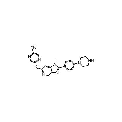 N#Cc1cnc(NC2=NCC3N=C(c4ccc(N5CCNCC5)cc4)NC3=C2)cn1